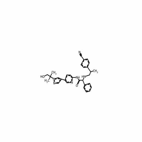 CC(CNC(C(=O)Nc1ccc(-c2cnn(C(C)(C)CO)c2)cn1)c1ccccc1)c1ccc(C#N)cc1